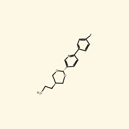 CCC[C@H]1CO[C@H](c2ccc(-c3ccc(F)cc3)nc2)OC1